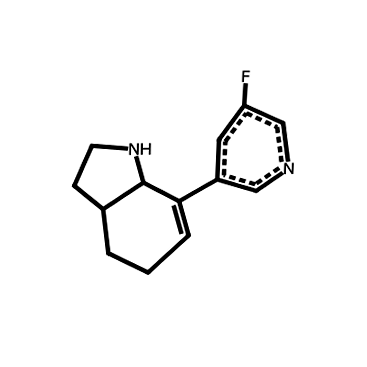 Fc1cncc(C2=CCCC3CCNC23)c1